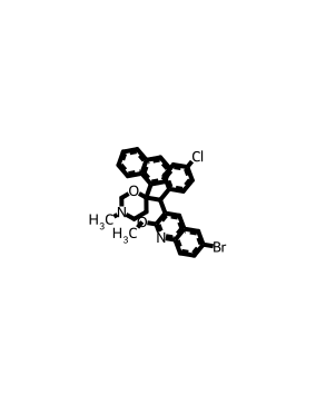 COc1nc2ccc(Br)cc2cc1C(c1ccc(Cl)cc1)C1(c2cccc3ccccc23)CCN(C)CO1